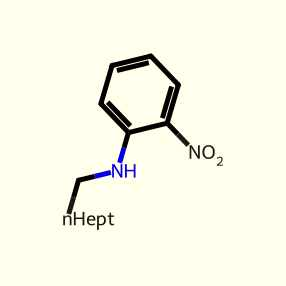 CCCCCCCCNc1ccccc1[N+](=O)[O-]